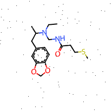 CCN(CNC(=O)CCSC)C(C)Cc1ccc2c(c1)OCO2